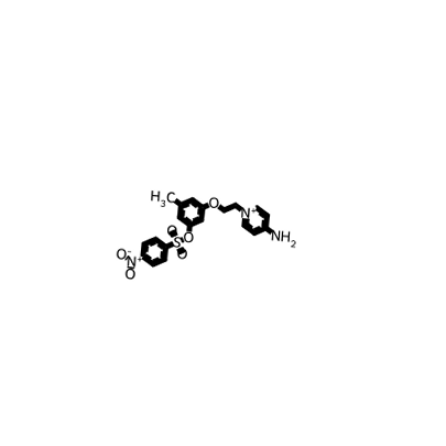 Cc1cc(OCC[n+]2ccc(N)cc2)cc(OS(=O)(=O)c2ccc([N+](=O)[O-])cc2)c1